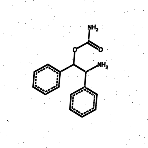 NC(=O)OC(c1ccccc1)C(N)c1ccccc1